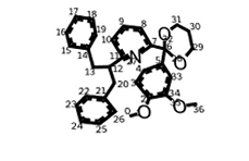 COc1ccc(C2(c3cccc(C(Cc4ccccc4)Cc4ccccc4)n3)OCCCO2)cc1OC